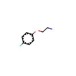 Cl.NCCOc1ccc(F)cc1